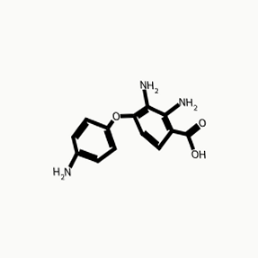 Nc1ccc(Oc2ccc(C(=O)O)c(N)c2N)cc1